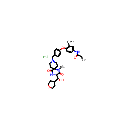 CCCCN1C(=O)[C@@H]([C@H](O)C2CCOCC2)NC(=O)C12CCN(Cc1ccc(Oc3ccc(NC(=O)CC(C)C)cc3OC)cc1)CC2.Cl